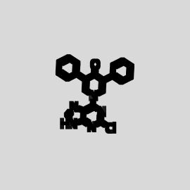 O=c1c(-c2ccccc2)cn(-c2nc(Cl)nc3[nH]cnc23)cc1-c1ccccc1